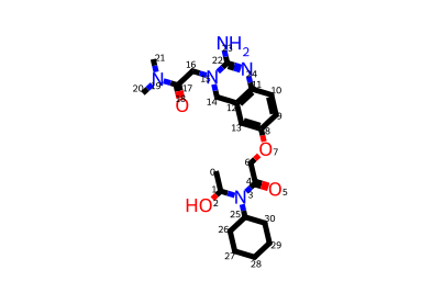 CC(O)N(C(=O)COc1ccc2c(c1)CN(CC(=O)N(C)C)C(N)=N2)C1CCCCC1